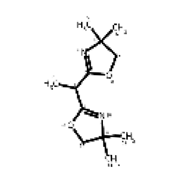 CC(C1=NC(C)(C)CO1)C1=NC(C)(C)CO1